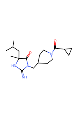 CC(C)CC1(C)NC(=N)N(CC2CCN(C(=O)C3CC3)CC2)C1=O